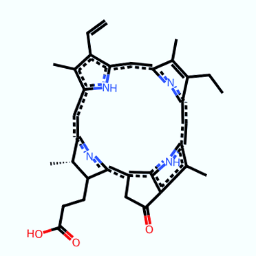 C=Cc1c(C)c2cc3nc(c4c5[nH]c(cc6nc(cc1[nH]2)C(C)=C6CC)c(C)c5C(=O)C4)C(CCC(=O)O)[C@@H]3C